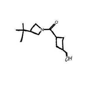 CC(C)(C)C1CN(C(=O)C2CC(O)C2)C1